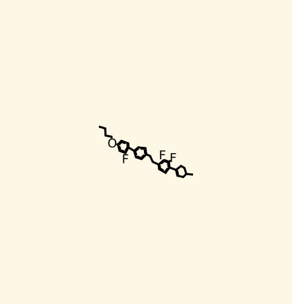 CCCCOc1ccc(-c2ccc(CCc3ccc(C4=CCC(C)CC4)c(F)c3F)cc2)c(F)c1